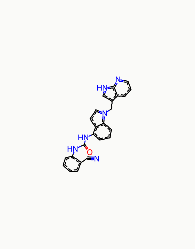 N#Cc1ccccc1NC(=O)Nc1cccc2c1ccn2Cc1c[nH]c2ncccc12